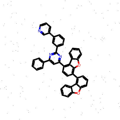 c1ccc(-c2cc(-c3ccc(-c4cccc5oc6ccccc6c45)c4oc5ccccc5c34)nc(-c3cccc(-c4cccnc4)c3)n2)cc1